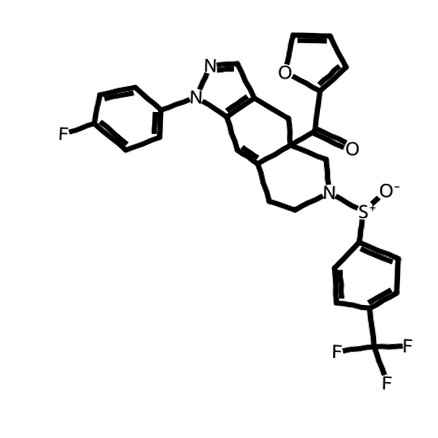 O=C(c1ccco1)C12Cc3cnn(-c4ccc(F)cc4)c3C=C1CCN([S+]([O-])c1ccc(C(F)(F)F)cc1)C2